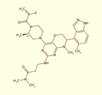 C=C(F)C(=O)N1CCN(c2nc(NCCC(=O)N(C)C)nc3c2OCC(c2c(C)ccc4[nH]ncc24)N3C)C[C@H]1C